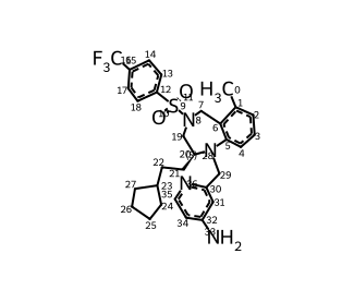 Cc1cccc2c1CN(S(=O)(=O)c1ccc(C(F)(F)F)cc1)C[C@H](CCC1CCCC1)N2Cc1cc(N)ccn1